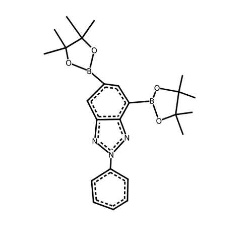 CC1(C)OB(c2cc(B3OC(C)(C)C(C)(C)O3)c3nn(-c4ccccc4)nc3c2)OC1(C)C